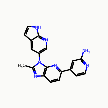 Cc1nc2ccc(-c3ccnc(N)c3)nc2n1-c1cnc2[nH]ccc2c1